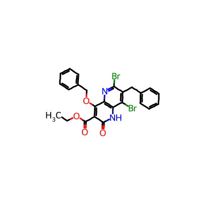 CCOC(=O)c1c(OCc2ccccc2)c2nc(Br)c(Cc3ccccc3)c(Br)c2[nH]c1=O